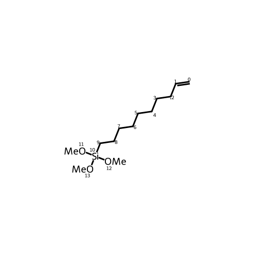 C=C[CH]CCCCCCC[Si](OC)(OC)OC